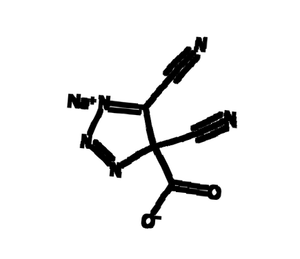 N#CC1=NN=NC1(C#N)C(=O)[O-].[Na+]